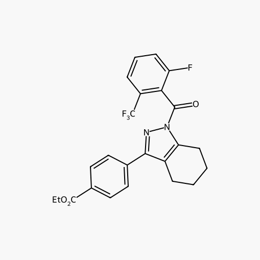 CCOC(=O)c1ccc(-c2nn(C(=O)c3c(F)cccc3C(F)(F)F)c3c2CCCC3)cc1